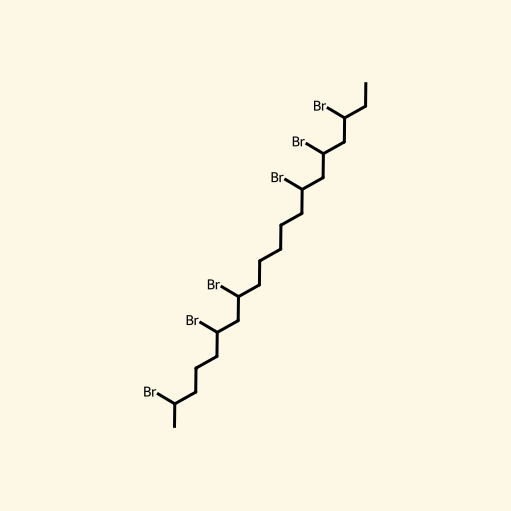 CCC(Br)CC(Br)CC(Br)CCCCCC(Br)CC(Br)CCCC(C)Br